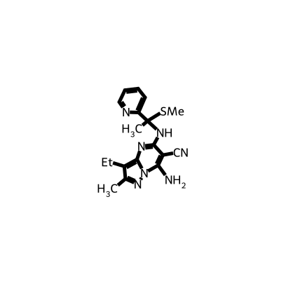 CCc1c(C)nn2c(N)c(C#N)c(NC(C)(SC)c3ccccn3)nc12